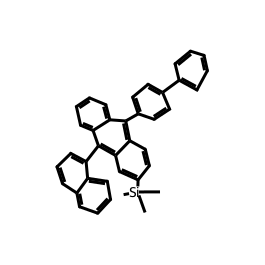 C[Si](C)(C)c1ccc2c(-c3ccc(-c4ccccc4)cc3)c3ccccc3c(-c3cccc4ccccc34)c2c1